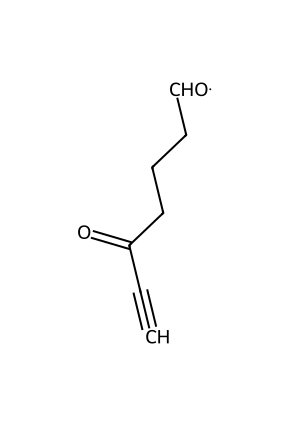 C#CC(=O)CCC[C]=O